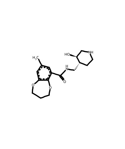 Cc1cc2c(c(C(=O)NC[C@H]3CCNC[C@@H]3O)c1)OCCCO2